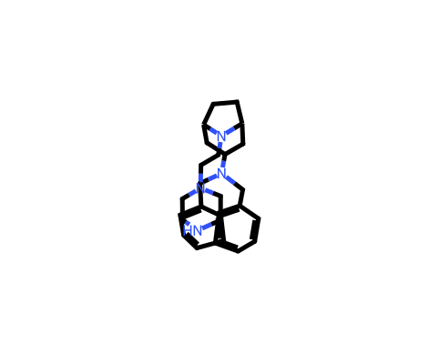 c1ccc(CN(Cc2ccccc2)C2CC3CCC(C2)N3CCN2CCNCC2)cc1